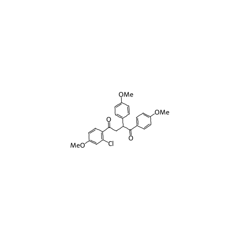 COc1ccc(C(=O)C(CC(=O)c2ccc(OC)cc2Cl)c2ccc(OC)cc2)cc1